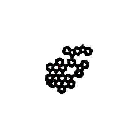 CC(C)(C)c1ccc2c(c1)B1c3cc(-c4cc(-n5c6ccccc6c6ccccc65)cc(-n5c6ccccc6c6cc7sc8ccccc8c7cc65)n4)ccc3N(c3c(-c4ccccc4)cccc3-c3ccccc3)c3cc(C(C)(C)C)cc(c31)N2c1c(-c2ccccc2)cccc1-c1ccccc1